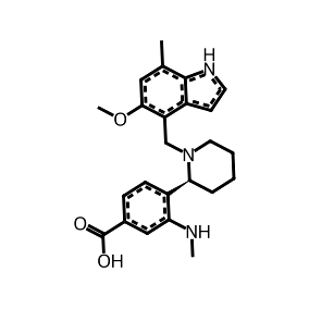 CNc1cc(C(=O)O)ccc1[C@@H]1CCCCN1Cc1c(OC)cc(C)c2[nH]ccc12